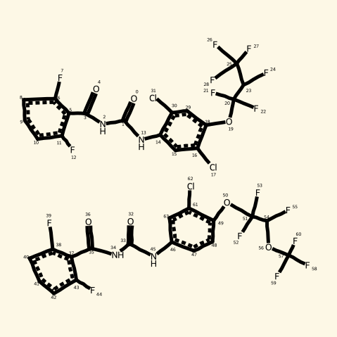 O=C(NC(=O)c1c(F)cccc1F)Nc1cc(Cl)c(OC(F)(F)C(F)C(F)(F)F)cc1Cl.O=C(NC(=O)c1c(F)cccc1F)Nc1ccc(OC(F)(F)C(F)OC(F)(F)F)c(Cl)c1